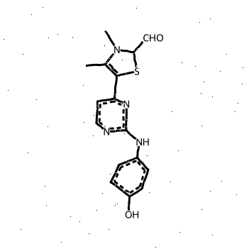 CC1=C(c2ccnc(Nc3ccc(O)cc3)n2)SC(C=O)N1C